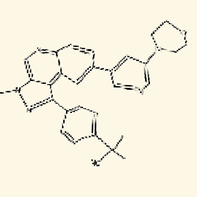 Cn1nc(-c2ccc(C(C)(C)C#N)cc2)c2c3cc(-c4cncc(N5CCOCC5)c4)ccc3ncc21